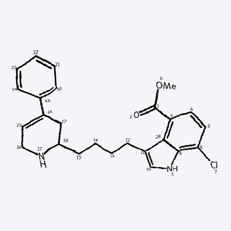 COC(=O)c1ccc(Cl)c2[nH]cc(CCCCC3CC(c4ccccc4)=CCN3)c12